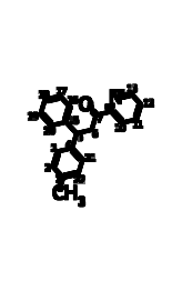 Cc1ccc(C(CC(=O)c2ccccn2)c2ccccc2)cc1